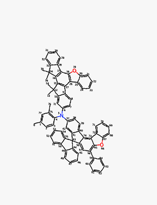 Cc1ccc(N(c2ccc3c(c2)C(C)(C)c2c4c(c5oc6ccccc6c5c2-3)-c2ccccc2C4(C)C)c2ccc3c(c2)C2(c4ccccc4-c4ccccc42)c2cc(-c4ccccc4)c4oc5ccccc5c4c2-3)c(C)c1